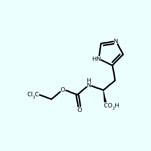 O=C(N[C@@H](Cc1cnc[nH]1)C(=O)O)OCC(Cl)(Cl)Cl